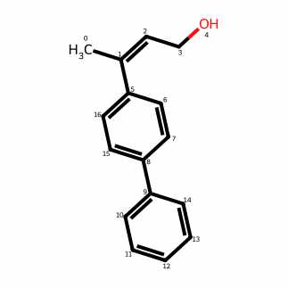 C/C(=C/CO)c1ccc(-c2ccccc2)cc1